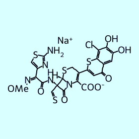 CO/N=C(\C(=O)N[C@]1(C=S)C(=O)N2C(C(=O)[O-])=C(c3cc(=O)c4cc(O)c(O)c(Cl)c4s3)CS[C@H]21)c1csc(N)n1.[Na+]